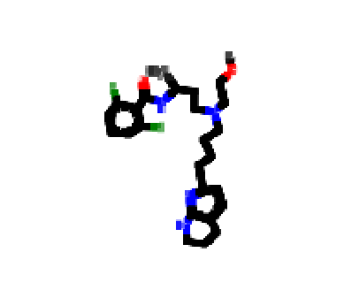 CCOCCN(CCCCc1ccc2c(n1)NCCC2)CCC(NC(=O)c1c(F)cccc1Cl)C(=O)O